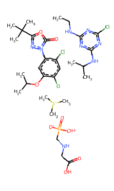 CC(C)Oc1cc(-n2nc(C(C)(C)C)oc2=O)c(Cl)cc1Cl.CCNc1nc(Cl)nc(NC(C)C)n1.C[S+](C)C.O=C(O)CNCP(=O)([O-])O